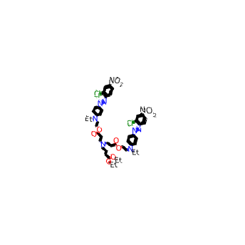 CCOC(CCCN(CCC(=O)OCCN(CC)c1ccc(/N=N/c2ccc([N+](=O)[O-])cc2Cl)cc1)CCC(=O)OCCN(CC)c1ccc(/N=N/c2ccc([N+](=O)[O-])cc2Cl)cc1)OCC